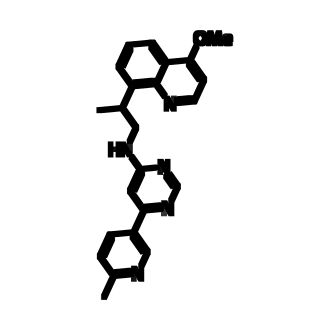 COc1ccnc2c(C(C)CNc3cc(-c4ccc(C)nc4)ncn3)cccc12